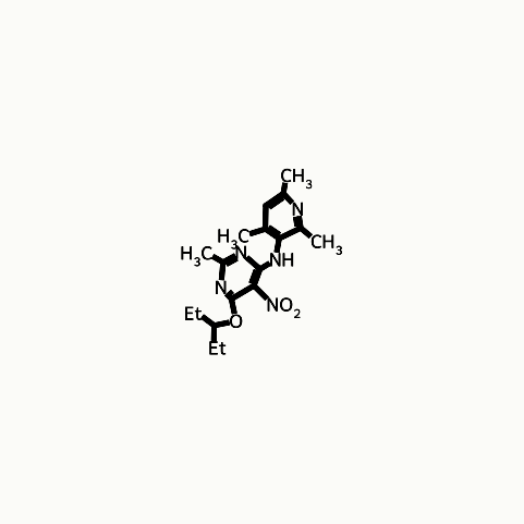 CCC(CC)Oc1nc(C)nc(Nc2c(C)cc(C)nc2C)c1[N+](=O)[O-]